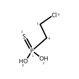 OP(O)(=S)CCCl